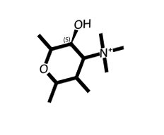 CC1OC(C)[C@@H](O)C([N+](C)(C)C)C1C